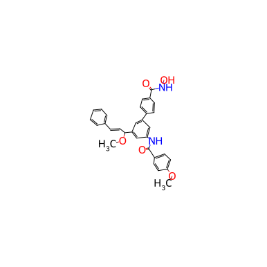 COc1ccc(C(=O)Nc2cc(-c3ccc(C(=O)NO)cc3)cc(C(C=Cc3ccccc3)OC)c2)cc1